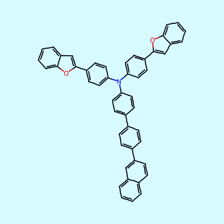 c1ccc2cc(-c3ccc(-c4ccc(N(c5ccc(-c6cc7ccccc7o6)cc5)c5ccc(-c6cc7ccccc7o6)cc5)cc4)cc3)ccc2c1